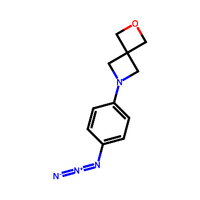 [N-]=[N+]=Nc1ccc(N2CC3(COC3)C2)cc1